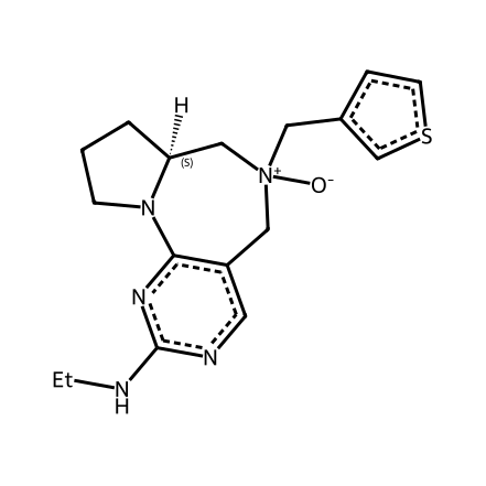 CCNc1ncc2c(n1)N1CCC[C@H]1C[N+]([O-])(Cc1ccsc1)C2